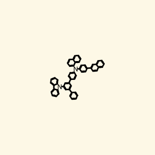 c1ccc(-c2cc(-c3ccc(N(c4ccc(-c5ccc6ccccc6c5)cc4)c4cccc5ccccc45)cc3)cc(-n3c4ccccc4c4ccccc43)c2)cc1